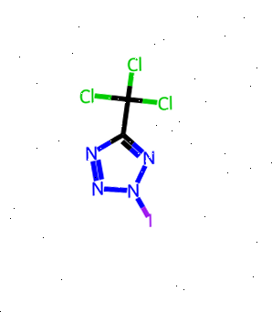 ClC(Cl)(Cl)c1nnn(I)n1